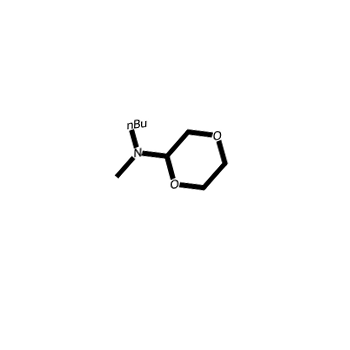 CCCCN(C)C1COCCO1